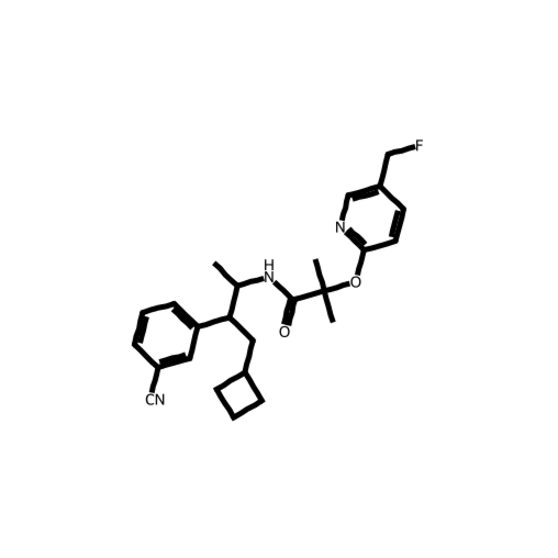 CC(NC(=O)C(C)(C)Oc1ccc(CF)cn1)C(CC1CCC1)c1cccc(C#N)c1